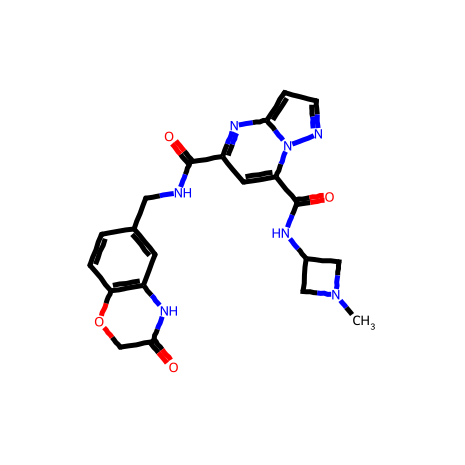 CN1CC(NC(=O)c2cc(C(=O)NCc3ccc4c(c3)NC(=O)CO4)nc3ccnn23)C1